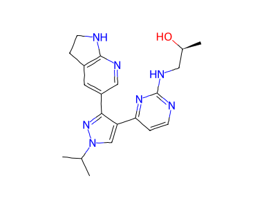 CC(C)n1cc(-c2ccnc(NC[C@H](C)O)n2)c(-c2cnc3c(c2)CCN3)n1